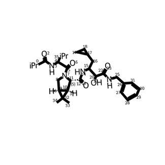 CC(C)C(=O)NC(C(=O)N1C[C@H]2[C@@H]([C@H]1C(=O)NC(CC1CC1)C(O)C(=O)NCc1ccccc1)C2(C)C)C(C)C